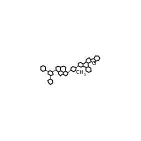 Cc1cc(-c2ccc3ccc4c(-c5cc(-c6ccccc6)cc(-c6ccccc6)c5)ccc5ccc2c3c54)ccc1-c1ccc2c(c1)c1ccccc1c1c2ccc2c3ccccc3oc21